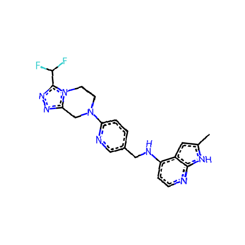 Cc1cc2c(NCc3ccc(N4CCn5c(nnc5C(F)F)C4)nc3)ccnc2[nH]1